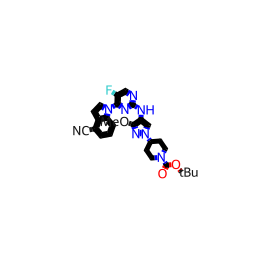 COc1nn(C2CCN(C(=O)OC(C)(C)C)CC2)cc1Nc1ncc(F)c(-n2ccc3c(C#N)cccc32)n1